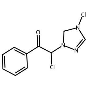 O=C(c1ccccc1)C(Cl)N1CN(Cl)C=N1